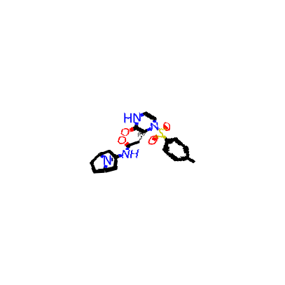 Cc1ccc(S(=O)(=O)N2C=CNC(=O)[C@H]2CC(=O)NC2CC3CCC(C2)N3C)cc1